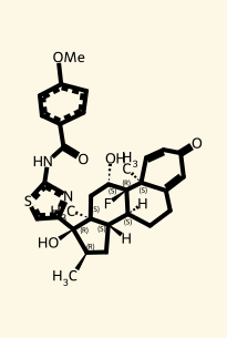 COc1ccc(C(=O)Nc2nc([C@@]3(O)[C@H](C)C[C@H]4[C@@H]5CCC6=CC(=O)C=C[C@]6(C)[C@@]5(F)[C@@H](O)C[C@@]43C)cs2)cc1